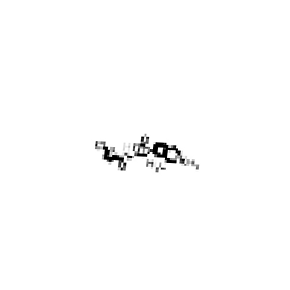 CC1CN(C)CCc2ccc(N3C[C@H](CNC(=O)c4ccc(Cl)s4)OC3=O)cc21